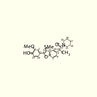 COc1cc(-c2oc3ccc(C(C)C(=O)N4CCCCC4)cc3c2SC)ccc1O